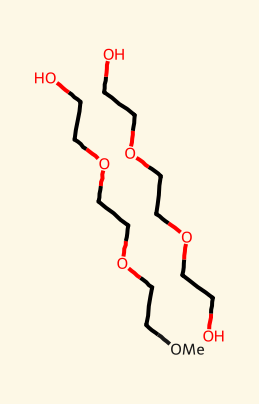 COCCOCCOCCO.OCCOCCOCCO